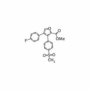 COC(=O)c1occ(-c2ccc(F)cc2)c1-c1ccc(S(C)(=O)=O)cc1